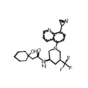 O=C(CC1(O)CCCCC1)NC1CC(C(F)(F)F)CN(c2ccc(C3C=N3)c3ncccc23)C1